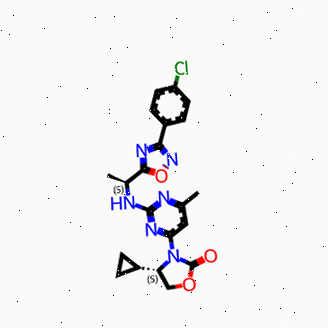 Cc1cc(N2C(=O)OC[C@@H]2C2CC2)nc(N[C@@H](C)c2nc(-c3ccc(Cl)cc3)no2)n1